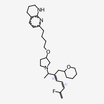 C=C(F)/C=C\C=C(/CC1CCCCO1)C(C)N1CCC(OCCCCc2ccc3c(n2)NCCC3)C1